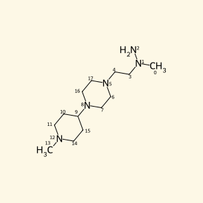 CN(N)CCN1CCN(C2CCN(C)CC2)CC1